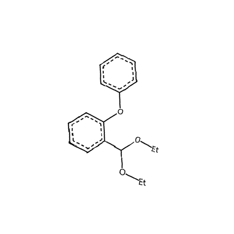 CCOC(OCC)c1ccccc1Oc1ccccc1